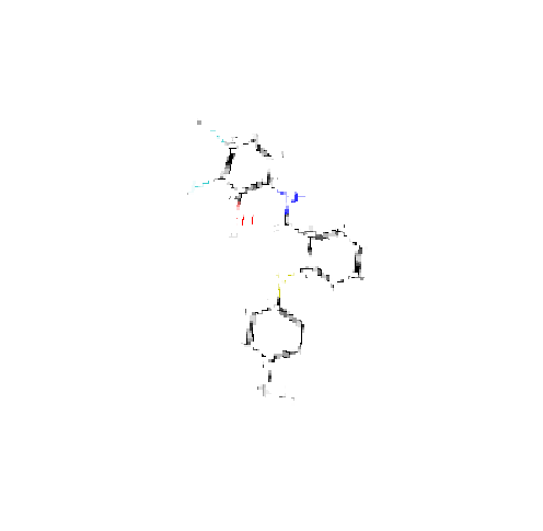 O=[N+]([O-])c1ccc(Sc2ccccc2CNc2ccc(F)c(F)c2O)cc1